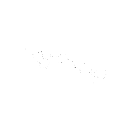 COc1ccc2c(Nc3ccc(NC(=O)/C(C=O)=C(\C)N(CC(C)(C)O)Nc4ccccc4)cc3F)ccnc2c1